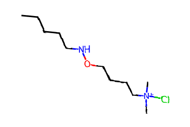 CCCCCNOCCCC[N+](C)(C)Cl